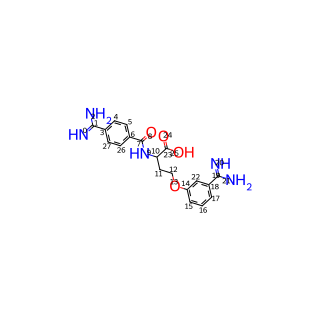 N=C(N)c1ccc(C(=O)NC(CCOc2cccc(C(=N)N)c2)C(=O)O)cc1